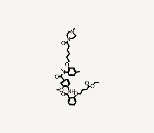 CCOC(=O)CCCOc1ccccc1C(=O)Nc1ccc(C(=O)N(C)c2ccc(C)cc2OCCCCCC(=O)N2CCN(C)CC2)cc1OC